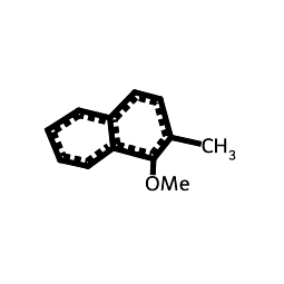 COc1c(C)ccc2ccccc12